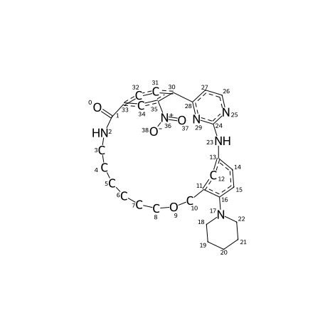 O=C1NCCCCCCOCc2cc(ccc2N2CCCCC2)Nc2nccc(n2)-c2ccc1cc2[N+](=O)[O-]